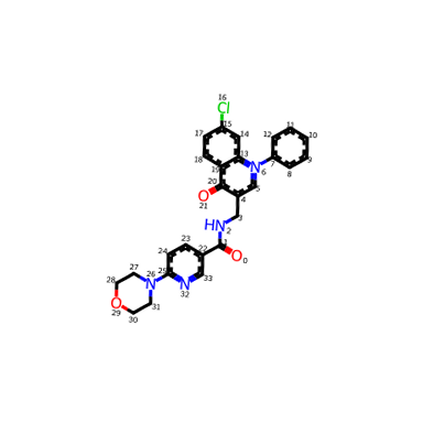 O=C(NCc1cn(-c2ccccc2)c2cc(Cl)ccc2c1=O)c1ccc(N2CCOCC2)nc1